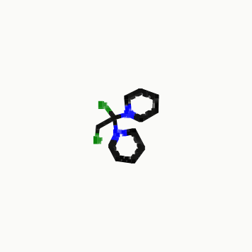 BrCC(Br)([n+]1ccccc1)[n+]1ccccc1